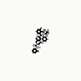 Cc1ccccc1NC(=O)N(CCOC1CCCC(OCc2cccc(C)c2C(=O)OC(=O)C(F)(F)F)C1)Cc1cccnc1